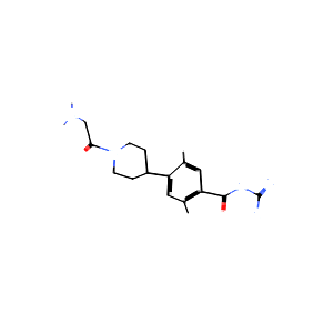 Cc1cc(C2CCN(C(=O)CN(C)C)CC2)c(C(F)(F)F)cc1C(=O)NC(=N)N